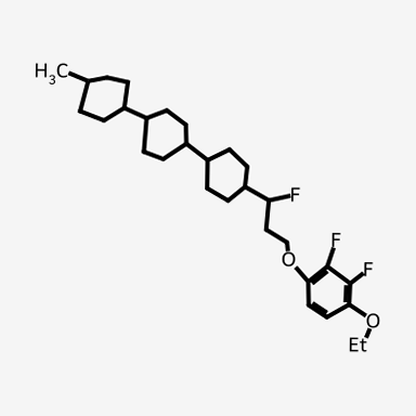 CCOc1ccc(OCCC(F)C2CCC(C3CCC(C4CCC(C)CC4)CC3)CC2)c(F)c1F